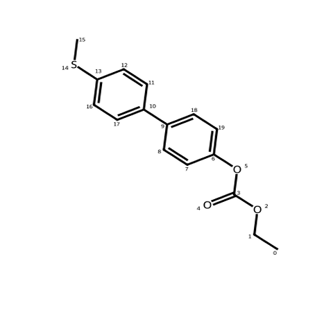 CCOC(=O)Oc1ccc(-c2ccc(SC)cc2)cc1